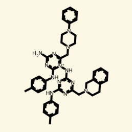 Cc1ccc(Nc2nc(CN3CCc4ccccc4C3)nc(N[n+]3c(CN4CCN(c5ccccc5)CC4)nc(N)nc3Nc3ccc(C)cc3)n2)cc1